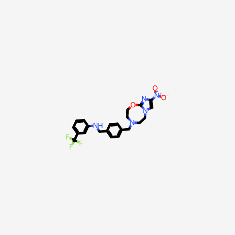 O=[N+]([O-])c1cn2c(n1)OCCN(Cc1ccc(CNc3cccc(C(F)(F)F)c3)cc1)CC2